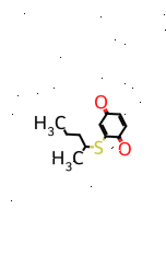 CCCC(C)SC1=CC(=O)C=CC1=O